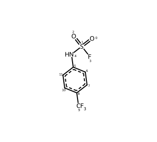 O=S(=O)(F)Nc1ccc(C(F)(F)F)cc1